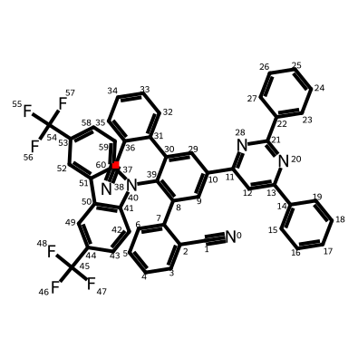 N#Cc1ccccc1-c1cc(-c2cc(-c3ccccc3)nc(-c3ccccc3)n2)cc(-c2ccccc2C#N)c1-n1c2ccc(C(F)(F)F)cc2c2cc(C(F)(F)F)ccc21